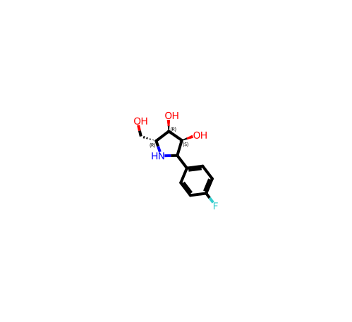 OC[C@H]1NC(c2ccc(F)cc2)[C@H](O)[C@@H]1O